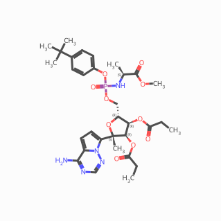 CCC(=O)O[C@H]1[C@@H](OC(=O)CC)[C@](C)(c2ccc3c(N)ncnn23)O[C@@H]1COP(=O)(N[C@@H](C)C(=O)OC)Oc1ccc(C(C)(C)C)cc1